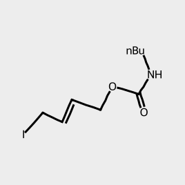 CCCCNC(=O)OCC=CCI